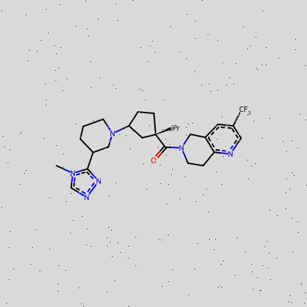 CC(C)[C@]1(C(=O)N2CCc3ncc(C(F)(F)F)cc3C2)CCC(N2CCCC(c3nncn3C)C2)C1